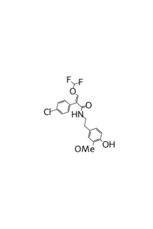 COc1cc(CCNC(=O)/C(=C/OC(F)F)c2ccc(Cl)cc2)ccc1O